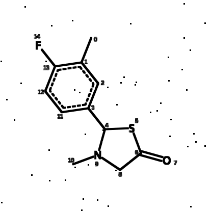 Cc1cc(C2SC(=O)CN2C)ccc1F